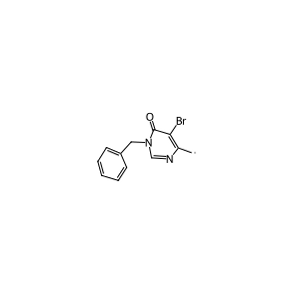 [CH2]c1ncn(Cc2ccccc2)c(=O)c1Br